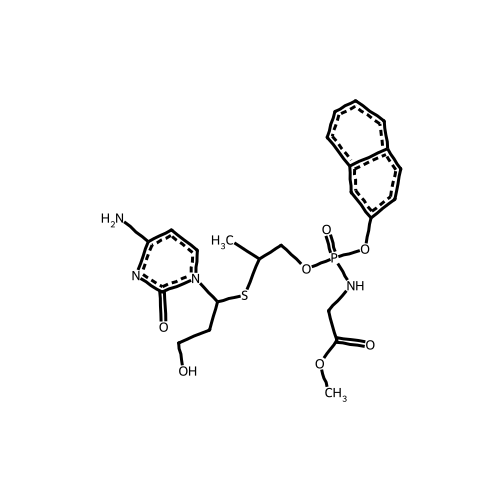 COC(=O)CNP(=O)(OCC(C)SC(CCO)n1ccc(N)nc1=O)Oc1ccc2ccccc2c1